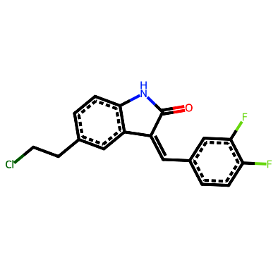 O=C1Nc2ccc(CCCl)cc2C1=Cc1ccc(F)c(F)c1